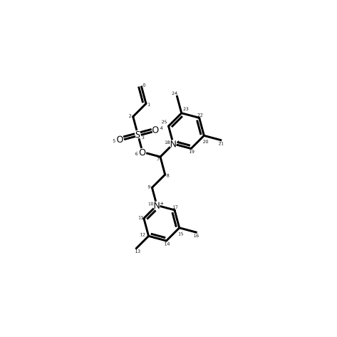 C=CCS(=O)(=O)OC(CC[n+]1cc(C)cc(C)c1)[n+]1cc(C)cc(C)c1